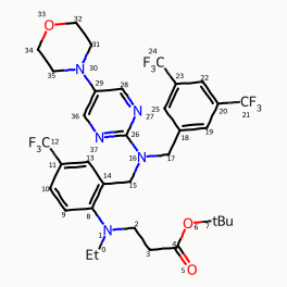 CCN(CCC(=O)OC(C)(C)C)c1ccc(C(F)(F)F)cc1CN(Cc1cc(C(F)(F)F)cc(C(F)(F)F)c1)c1ncc(N2CCOCC2)cn1